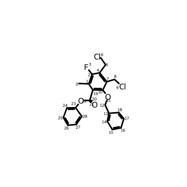 Cc1c(F)c(CCl)c(CCl)c(OCc2ccccc2)c1C(=O)Oc1ccccc1